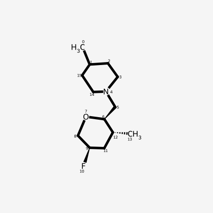 CC1CCN(C[C@@H]2OC[C@H](F)C[C@H]2C)CC1